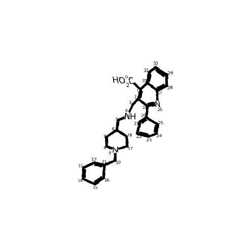 O=C(O)c1c(CNCC2CCN(Cc3ccccc3)CC2)c(-c2ccccc2)nc2ccccc12